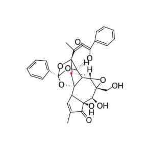 C=C(C)[C@@]12O[C@@]3(c4ccccc4)O[C@@H]1C1[C@@H]4O[C@]4(CO)[C@@H](O)[C@]4(O)C(=O)C(C)=CC4[C@@]1(O3)[C@H](C)[C@H]2OC(=O)c1ccccc1